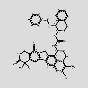 CC[C@@]1(O)C(=O)OCc2c1cc1n(c2=O)Cc2c-1nc1cc(F)c(C)c3c1c2[C@@H](NC(=O)O[C@@H]1CCc2ccccc2[C@H]1SSc1ccccn1)CC3